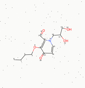 CCCCOc1c(C=O)n(CC(O)CO)ccc1=O